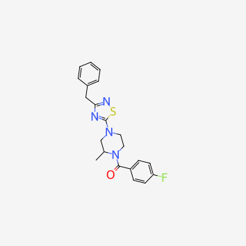 CC1CN(c2nc(Cc3ccccc3)ns2)CCN1C(=O)c1ccc(F)cc1